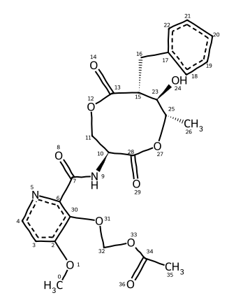 COc1ccnc(C(=O)N[C@H]2COC(=O)[C@H](Cc3ccccc3)[C@@H](O)[C@H](C)OC2=O)c1OCOC(C)=O